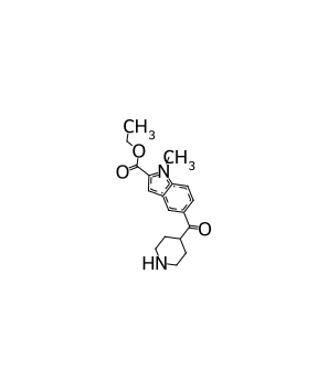 CCOC(=O)c1cc2cc(C(=O)C3CCNCC3)ccc2n1C